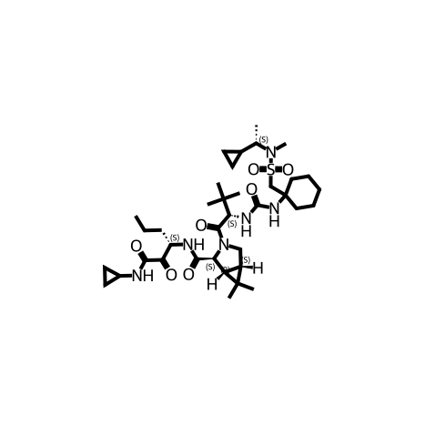 CCC[C@H](NC(=O)[C@@H]1[C@@H]2[C@H](CN1C(=O)[C@@H](NC(=O)NC1(CS(=O)(=O)N(C)[C@@H](C)C3CC3)CCCCC1)C(C)(C)C)C2(C)C)C(=O)C(=O)NC1CC1